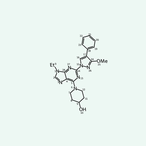 CCn1cnc2c(N3CCC(O)CC3)nc(-n3cc(-c4ccccc4)c(OC)n3)nc21